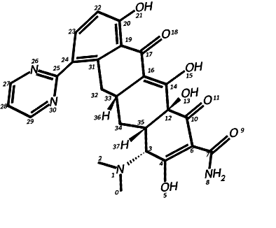 CN(C)[C@H]1C(O)=C(C(N)=O)C(=O)[C@@]2(O)C(O)=C3C(=O)c4c(O)ccc(-c5ncccn5)c4C[C@H]3C[C@@H]12